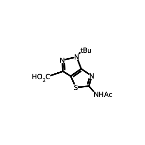 CC(=O)Nc1nc2c(s1)c(C(=O)O)nn2C(C)(C)C